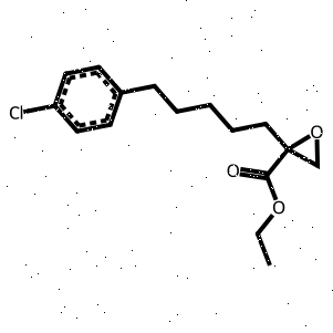 CCOC(=O)C1(CCCCCc2ccc(Cl)cc2)CO1